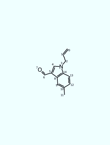 C=CCn1cc(C=O)c2cc(C)ccc21